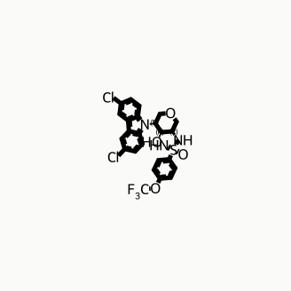 N=S(=O)(N[C@@H]1COC[C@@H](n2c3ccc(Cl)cc3c3cc(Cl)ccc32)[C@H]1O)c1ccc(OC(F)(F)F)cc1